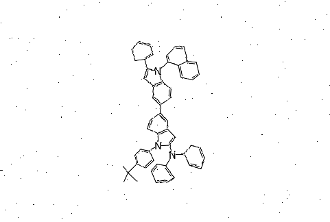 CC(C)(C)c1ccc(-n2c(N(c3ccccc3)C3C=CC=CC3)cc3cc(-c4ccc5c(c4)cc(C4=CC=CCC4)n5-c4cccc5ccccc45)ccc32)cc1